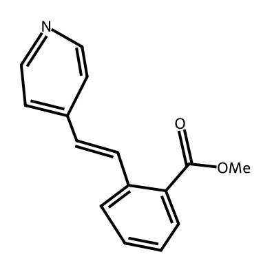 COC(=O)c1ccccc1C=Cc1ccncc1